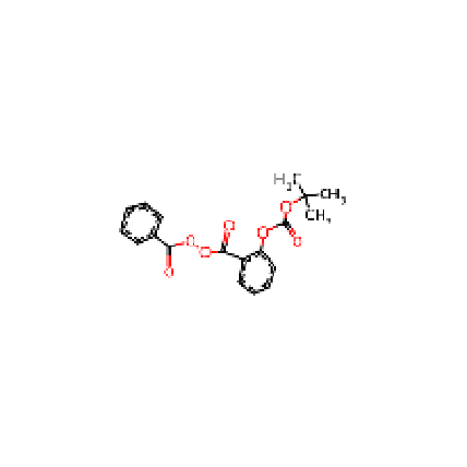 CC(C)(C)OC(=O)Oc1ccccc1C(=O)OOC(=O)c1ccccc1